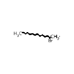 [CH2]C(Br)CCCCCCCCCCCC